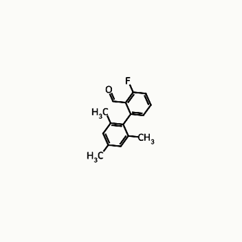 Cc1cc(C)c(-c2cccc(F)c2C=O)c(C)c1